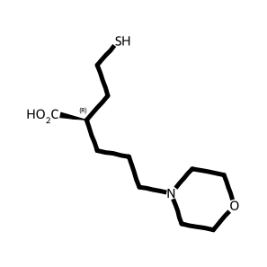 O=C(O)[C@@H](CCS)CCCN1CCOCC1